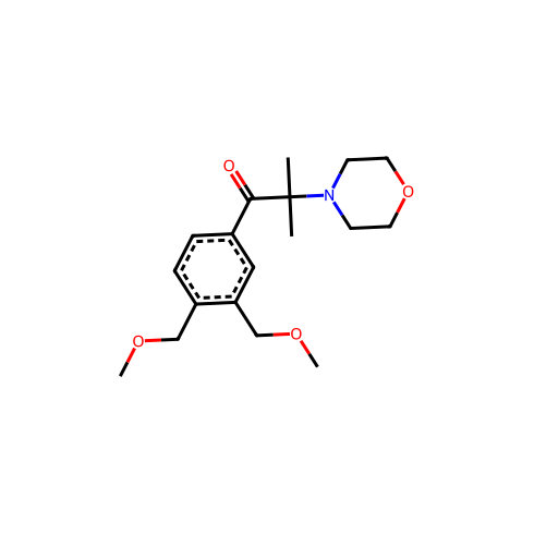 COCc1ccc(C(=O)C(C)(C)N2CCOCC2)cc1COC